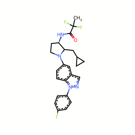 CC(F)(F)C(=O)N[C@@H]1CCN(c2ccc3c(cnn3-c3ccc(F)cc3)c2)C1CC1CC1